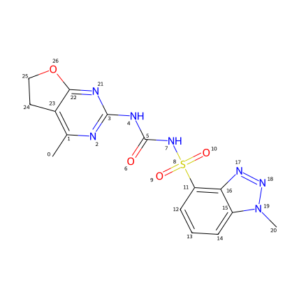 Cc1nc(NC(=O)NS(=O)(=O)c2cccc3c2nnn3C)nc2c1CCO2